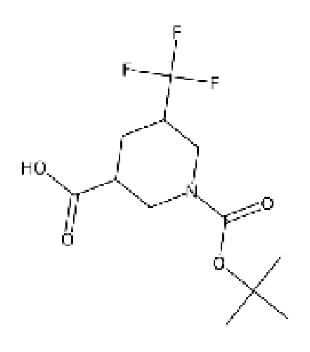 CC(C)(C)OC(=O)N1CC(C(=O)O)CC(C(F)(F)F)C1